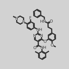 COc1ccc(CCC(=O)NCc2ccccc2)cc1Oc1nc(Nc2ccc(N3CCN(C)CC3)c(F)c2)ncc1C(=O)Nc1c(C)cccc1C